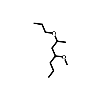 CCCOC(C)C[C](CCC)OC